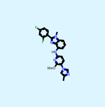 COc1nc(Nc2cccc3c2nc(-c2ccc(F)cc2F)n3C)ccc1-n1cnc(C)c1